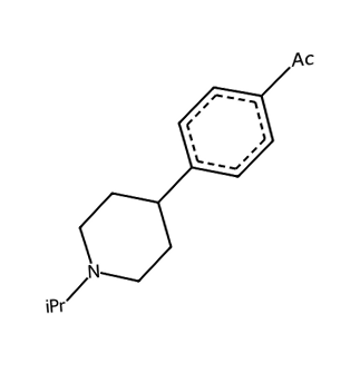 CC(=O)c1ccc(C2CCN(C(C)C)CC2)cc1